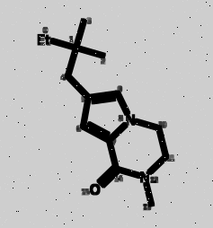 CCC(C)(C)Cc1cc2n(c1)CCN(C)C2=O